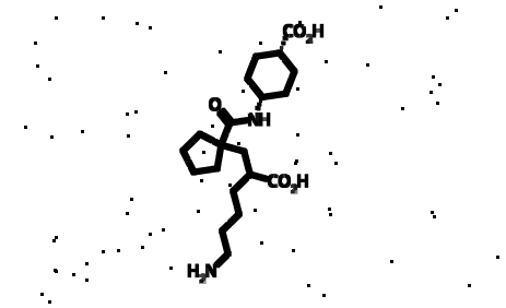 NCCCCC(CC1(C(=O)N[C@H]2CC[C@@H](C(=O)O)CC2)CCCC1)C(=O)O